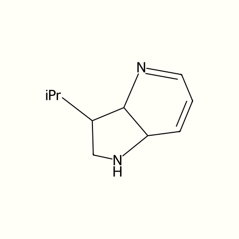 CC(C)C1CNC2C=CC=NC21